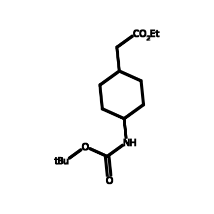 CCOC(=O)CC1CCC(NC(=O)OC(C)(C)C)CC1